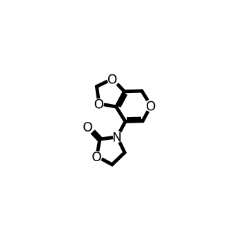 O=C1OCCN1C1=COCC2=C1OCO2